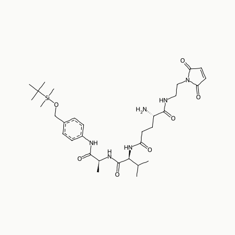 CC(C)[C@H](NC(=O)CC[C@H](N)C(=O)NCCN1C(=O)C=CC1=O)C(=O)N[C@@H](C)C(=O)Nc1ccc(CO[Si](C)(C)C(C)(C)C)cc1